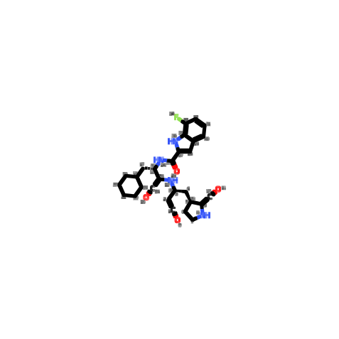 O=C=C[C@H](C[C@@H]1CCNC1=C=O)NC(=C=O)[C@H](CC1CCCCC1)NC(=O)c1cc2cccc(F)c2[nH]1